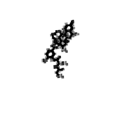 CCSC(=O)[C@@]1(OC(=O)c2ccc(C)c(NC(=O)[C@H](C)NC(=O)CC)c2)[C@H](C)C[C@H]2[C@@H]3C[C@H](F)C4=CC(=O)C=C[C@]4(C)[C@@]3(F)[C@@H](O)C[C@@]21C